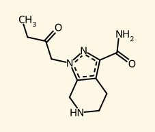 CCC(=O)Cn1nc(C(N)=O)c2c1CNCC2